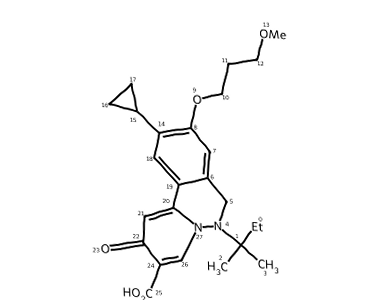 CCC(C)(C)N1Cc2cc(OCCCOC)c(C3CC3)cc2-c2cc(=O)c(C(=O)O)cn21